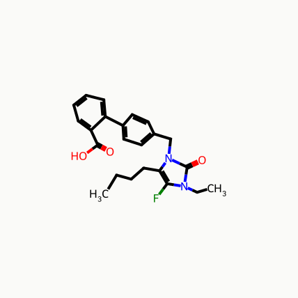 CCCCc1c(F)n(CC)c(=O)n1Cc1ccc(-c2ccccc2C(=O)O)cc1